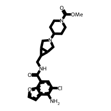 COC(=O)N1CCC(N2CC3C(CNC(=O)c4cc(Cl)c(N)c5ccoc45)C3C2)CC1